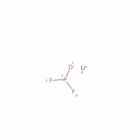 [Li+].[O-]P(F)F